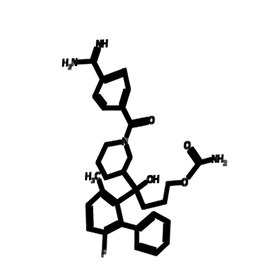 Cc1ccc(F)c(-c2ccccc2)c1C(O)(CCCOC(N)=O)C1CCCN(C(=O)c2ccc(C(=N)N)cc2)C1